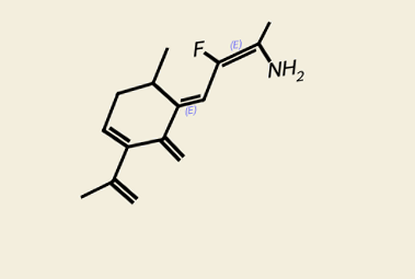 C=C(C)C1=CCC(C)/C(=C\C(F)=C(\C)N)C1=C